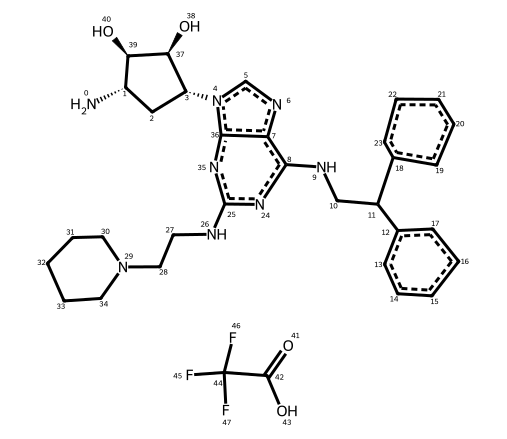 N[C@H]1C[C@@H](n2cnc3c(NCC(c4ccccc4)c4ccccc4)nc(NCCN4CCCCC4)nc32)[C@H](O)[C@@H]1O.O=C(O)C(F)(F)F